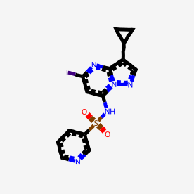 O=S(=O)(Nc1cc(I)nc2c(C3CC3)cnn12)c1cccnc1